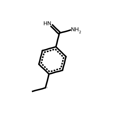 C[CH]c1ccc(C(=N)N)cc1